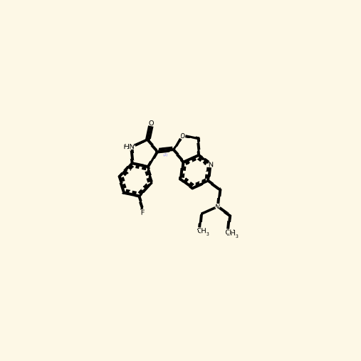 CCN(CC)Cc1ccc2c(n1)CO/C2=C1\C(=O)Nc2ccc(F)cc21